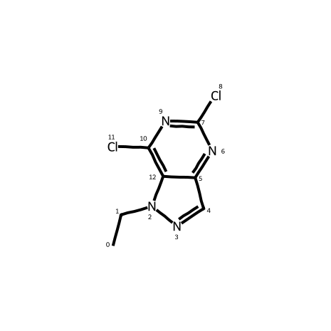 CCn1ncc2nc(Cl)nc(Cl)c21